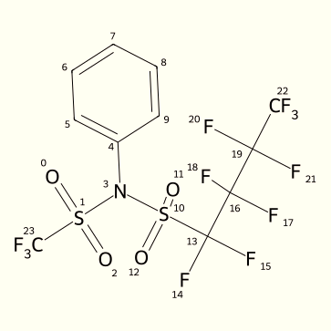 O=S(=O)(N(c1ccccc1)S(=O)(=O)C(F)(F)C(F)(F)C(F)(F)C(F)(F)F)C(F)(F)F